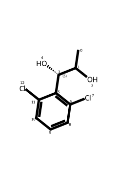 CC(O)[C@@H](O)c1c(Cl)cccc1Cl